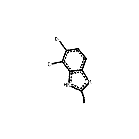 Cc1nc2ccc(Br)c(Cl)c2[nH]1